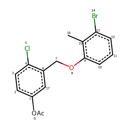 CC(=O)Oc1ccc(Cl)c(COc2cccc(Br)c2C)c1